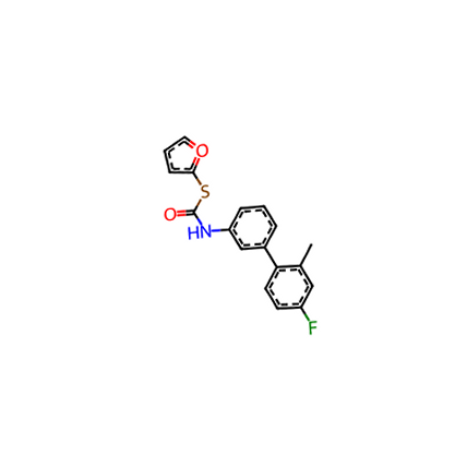 Cc1cc(F)ccc1-c1cccc(NC(=O)Sc2ccco2)c1